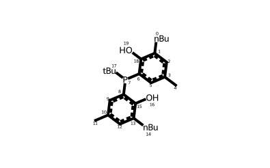 CCCCc1cc(C)cc(P(c2cc(C)cc(CCCC)c2O)C(C)(C)C)c1O